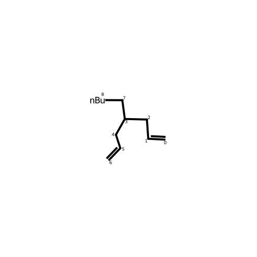 C=CCC(CC=C)CCCCC